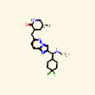 O=C(O)NC(c1cn2nc(CC3C[C@H](C(F)(F)F)CNC3=O)ccc2n1)C1CCC(F)(F)CC1